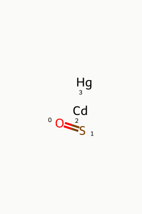 O=S.[Cd].[Hg]